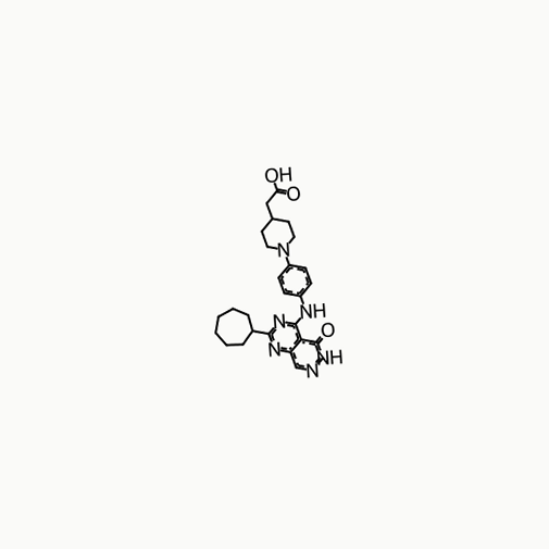 O=C(O)CC1CCN(c2ccc(Nc3nc(C4CCCCCC4)nc4cn[nH]c(=O)c34)cc2)CC1